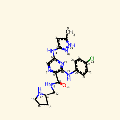 Cc1cc(Nc2cnc(C(=O)NC[C@H]3CCCN3)c(Nc3ccc(Cl)cc3)n2)n[nH]1